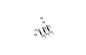 CN.CN.CN.I.I.I